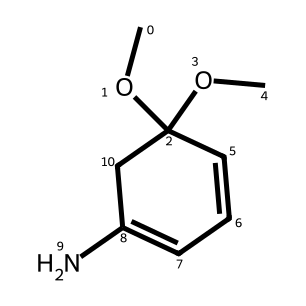 COC1(OC)C=CC=C(N)C1